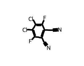 N#Cc1c(F)c(Cl)c(Cl)c(F)c1C#N